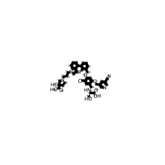 N#Cc1cncc(COc2cc(OCc3cccc(-c4cccc5c4ccn5CCCN4CCC(O)(C(=O)O)C4)c3Br)c(Cl)cc2CN[C@@H](CO)C(=O)O)c1